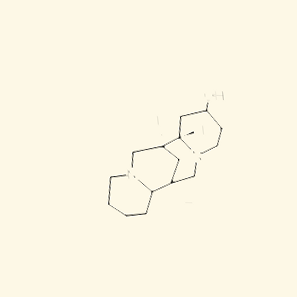 OC1CCN2C[C@@H]3C[C@@H](CN4CCCC[C@H]34)[C@@H]2C1